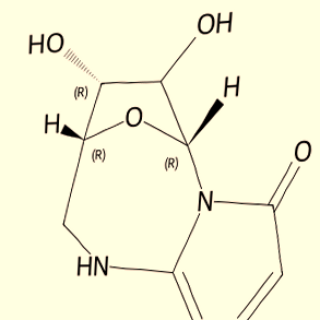 O=c1cccc2n1[C@@H]1O[C@H](CN2)[C@H](O)C1O